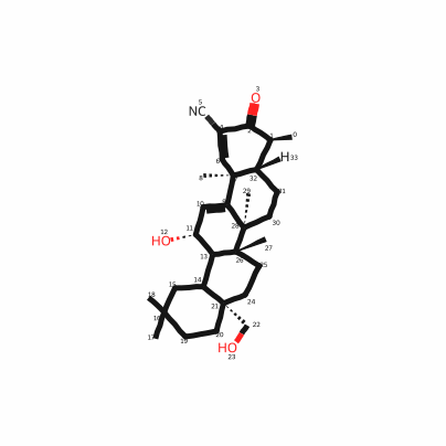 C[C@@H]1C(=O)C(C#N)=C[C@]2(C)C3=C[C@@H](O)C4C5CC(C)(C)CC[C@]5(CO)CC[C@@]4(C)[C@]3(C)CC[C@@H]12